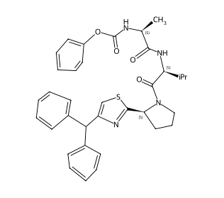 CC(C)[C@H](NC(=O)[C@H](C)NC(=O)Oc1ccccc1)C(=O)N1CCC[C@H]1c1nc(C(c2ccccc2)c2ccccc2)cs1